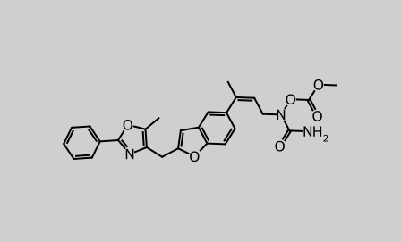 COC(=O)ON(C/C=C(/C)c1ccc2oc(Cc3nc(-c4ccccc4)oc3C)cc2c1)C(N)=O